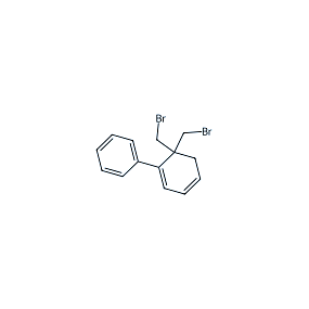 BrCC1(CBr)CC=CC=C1c1ccccc1